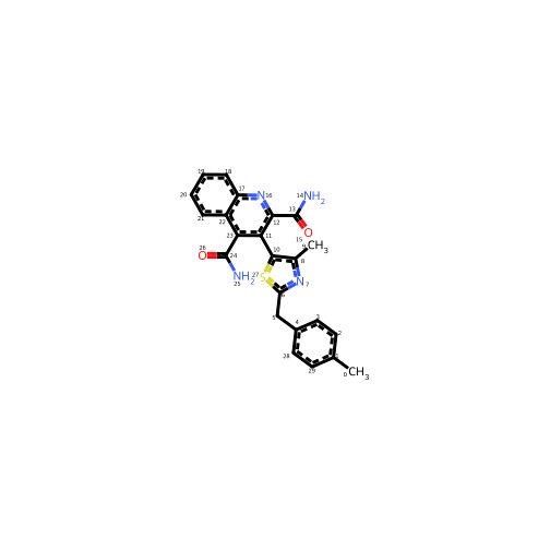 Cc1ccc(Cc2nc(C)c(-c3c(C(N)=O)nc4ccccc4c3C(N)=O)s2)cc1